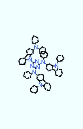 c1ccc(N(c2ccccc2)c2ccc3c4ccccc4n(-c4nc(N(c5ccccc5)c5ccc6c7ccccc7n(-c7ccccc7)c6c5)nc(N(c5ccccc5)c5ccc6c7ccccc7n(-c7ccccc7)c6c5)n4)c3c2)cc1